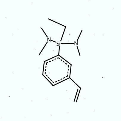 C=Cc1cccc([Si](CC)(N(C)C)N(C)C)c1